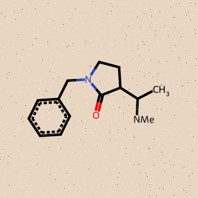 CNC(C)C1CCN(Cc2ccccc2)C1=O